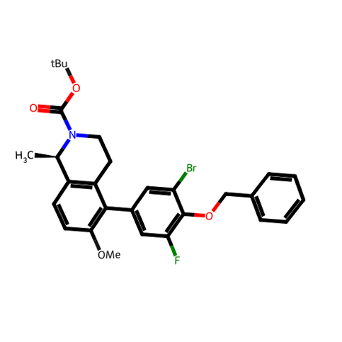 COc1ccc2c(c1-c1cc(F)c(OCc3ccccc3)c(Br)c1)CCN(C(=O)OC(C)(C)C)[C@@H]2C